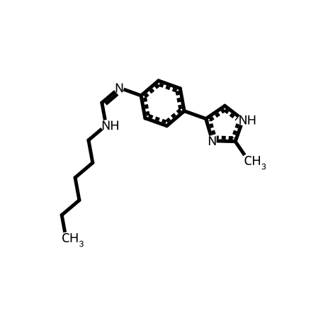 CCCCCCN/C=N\c1ccc(-c2c[nH]c(C)n2)cc1